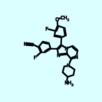 COc1ccc(-c2c(-c3ccc(C#N)c(F)c3)nc3c(N4CCC(N)CC4)nccn23)cc1F